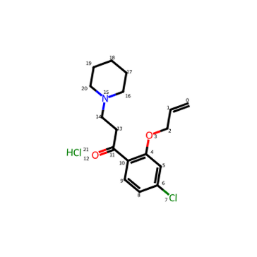 C=CCOc1cc(Cl)ccc1C(=O)CCN1CCCCC1.Cl